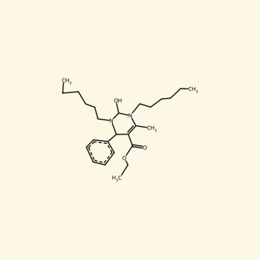 CCCCCCN1C(C)=C(C(=O)OCC)C(c2ccccc2)N(CCCCCC)C1O